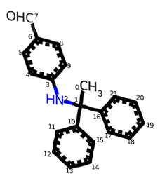 CC(Nc1ccc(C=O)cc1)(c1ccccc1)c1ccccc1